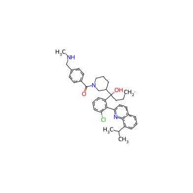 [CH2]CCC(O)(c1cccc(Cl)c1-c1ccc2cccc(C(C)C)c2n1)C1CCCN(C(=O)c2ccc(CNC)cc2)C1